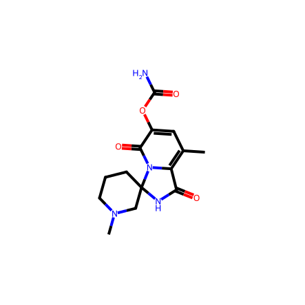 Cc1cc(OC(N)=O)c(=O)n2c1C(=O)NC21CCCN(C)C1